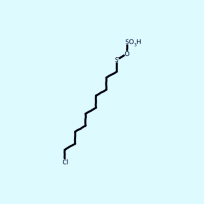 O=S(=O)(O)OSCCCCCCCCCCCl